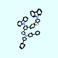 C1=CC2c3ccccc3N(c3cc(-c4cccc(N(c5ccc(-c6ccccc6)cc5)c5ccc(-c6ccccc6)cc5)c4)cc(-c4ccc5oc6ccc(-n7c8ccccc8c8ccccc87)cc6c5c4)c3)C2C=C1